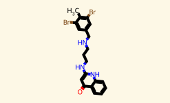 Cc1c(Br)cc(CNCCCNc2cc(=O)c3ccccc3[nH]2)cc1Br